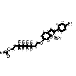 CCc1ccc(-c2cc3ccc(OCCC(F)(F)C(F)(F)C(F)(F)C(F)(F)CCOC(=O)C(C)(C)C)cc3n2C(C)C)cc1